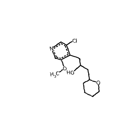 COc1cncc(Cl)c1CC(O)CC1CCCCO1